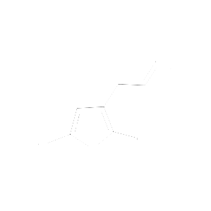 C=CCc1cc(Cl)sc1Cl